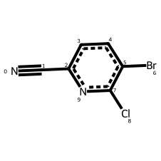 N#Cc1ccc(Br)c(Cl)n1